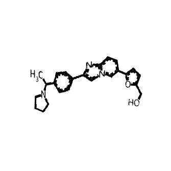 CC(c1ccc(-c2cn3cc(-c4ccc(CO)o4)ccc3n2)cc1)N1CCCC1